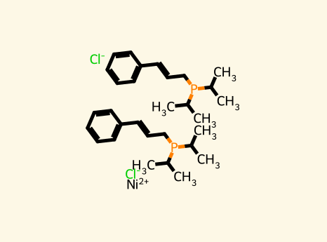 CC(C)P(CC=Cc1ccccc1)C(C)C.CC(C)P(CC=Cc1ccccc1)C(C)C.[Cl-].[Cl-].[Ni+2]